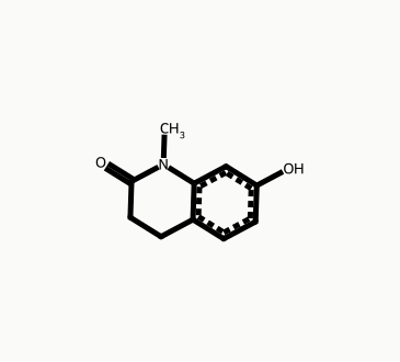 CN1C(=O)CCc2ccc(O)cc21